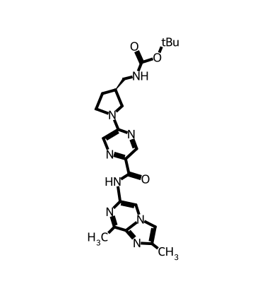 Cc1cn2cc(NC(=O)c3cnc(N4CC[C@@H](CNC(=O)OC(C)(C)C)C4)cn3)nc(C)c2n1